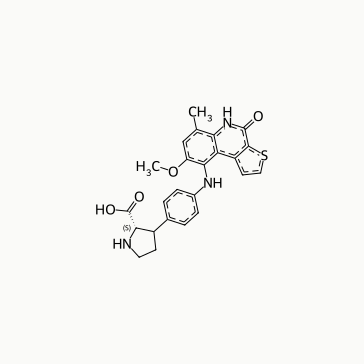 COc1cc(C)c2[nH]c(=O)c3sccc3c2c1Nc1ccc(C2CCN[C@@H]2C(=O)O)cc1